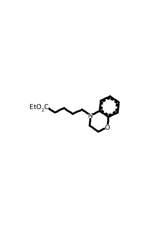 CCOC(=O)CCCCN1CCOc2ccccc21